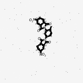 Cc1ccc(N2C(=O)c3ccc([N+](=O)[O-])cc3C2=O)cc1N1C(=O)c2ccc([N+](=O)[O-])cc2C1=O